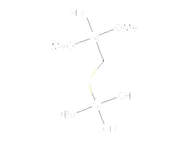 CO[Si](C)(CS[Si](C)(C)C(C)(C)C)OC